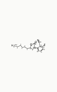 CCCCCCC1CN(c2cccc(F)c2C#N)C(=O)O1